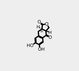 O=C1c2cc(O)c(O)cc2C[C@H]2C(=O)OC[C@H]12